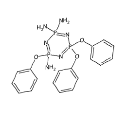 NP1(N)=NP(Oc2ccccc2)(Oc2ccccc2)=NP(N)(Oc2ccccc2)=N1